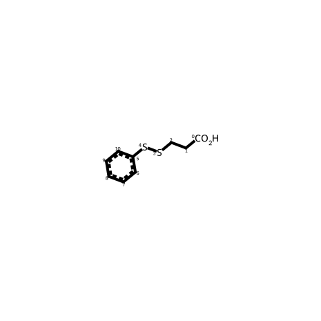 O=C(O)CCSSc1ccccc1